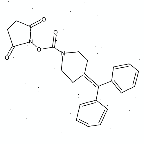 O=C(ON1C(=O)CCC1=O)N1CCC(=C(c2ccccc2)c2ccccc2)CC1